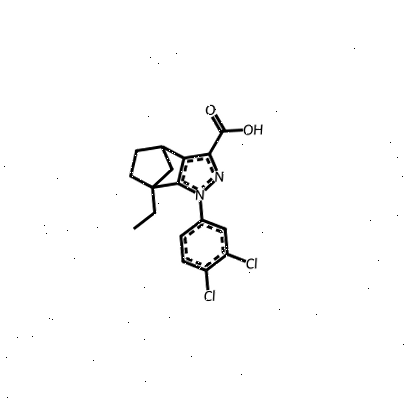 CCC12CCC(C1)c1c(C(=O)O)nn(-c3ccc(Cl)c(Cl)c3)c12